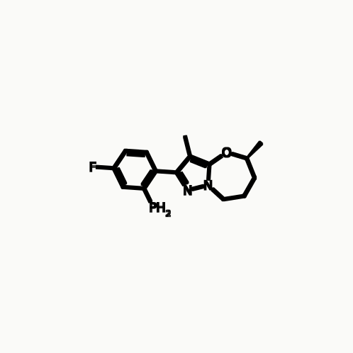 Cc1c(-c2ccc(F)cc2P)nn2c1O[C@@H](C)CCC2